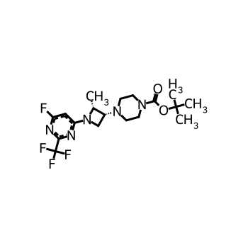 C[C@@H]1[C@H](N2CCN(C(=O)OC(C)(C)C)CC2)CN1c1cc(F)nc(C(F)(F)F)n1